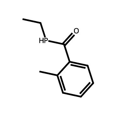 CCPC(=O)c1ccccc1C